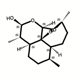 C[C@@H]1[C@@H](O)O[C@H]2O[C@]3(C)CC[C@H]4[C@@H](C)CC[C@@H]1[C@]24OO3